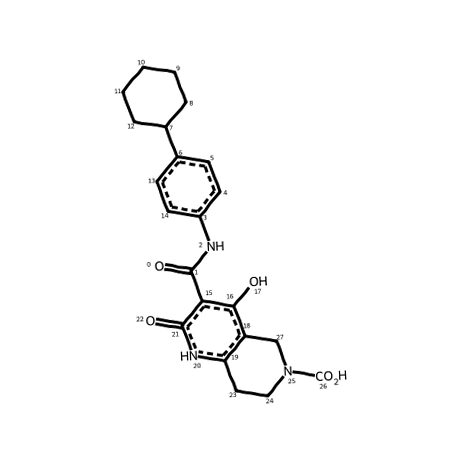 O=C(Nc1ccc(C2CCCCC2)cc1)c1c(O)c2c([nH]c1=O)CCN(C(=O)O)C2